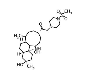 C[C@H]1CC[C@H](C(=O)CN2CCN(S(C)(=O)=O)CC2)CCC(=N)C2[C@H]1CC[C@H]1C[C@](C)(O)CC[C@]21CO